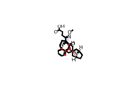 CO/N=C(\CCC(=O)O)c1nc2ccccc2n([C@H]2C[C@H]3CC[C@@H](C2)N3[C@@H]2C[C@@H]3CCCC[C@@H](C3)C2)c1=O